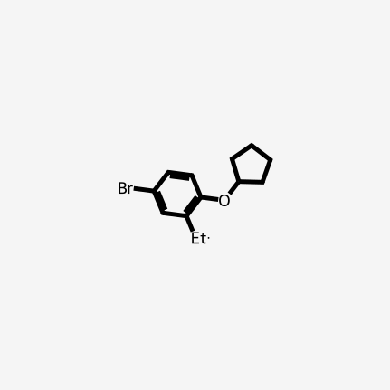 C[CH]c1cc(Br)ccc1OC1CCCC1